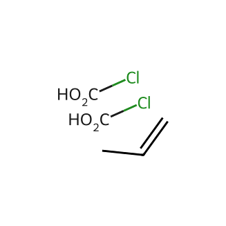 C=CC.O=C(O)Cl.O=C(O)Cl